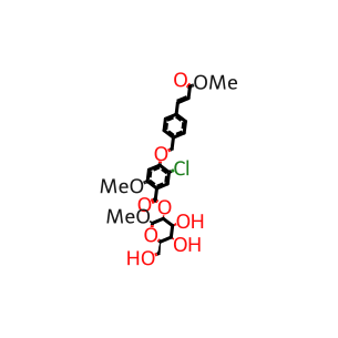 COC(=O)/C=C/c1ccc(COc2cc(OC)c(C(=O)O[C@H]3[C@@H](OC)O[C@H](CO)[C@@H](O)[C@@H]3O)cc2Cl)cc1